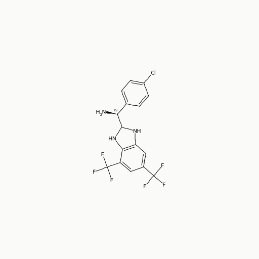 N[C@@H](c1ccc(Cl)cc1)C1Nc2cc(C(F)(F)F)cc(C(F)(F)F)c2N1